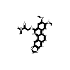 COc1cc2c(OCC(=O)N(C)C)nc3c4cc5c(cc4ccc3c2cc1OC)OCO5